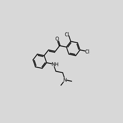 CN(C)CCNc1ccccc1/C=C/C(=O)c1ccc(Cl)cc1Cl